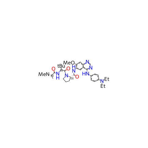 CCN(CC)c1ccc(Nc2ncnc3cc(OC)c(NC(=O)[C@@H]4CCCN4C(=O)[C@@H](NC(=O)[C@H](C)NC)C(C)(C)C)cc23)cc1